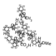 COC(=O)Nc1cccc(C(=O)c2ccccc2NC(Cc2ccc(OCCc3nc(-c4ccccc4)oc3C)cc2)C(=O)O)c1.Cc1oc(-c2ccccc2)nc1CCOc1ccc(CC(Nc2ccccc2C(=O)c2cccc(O)c2)C(=O)O)cc1